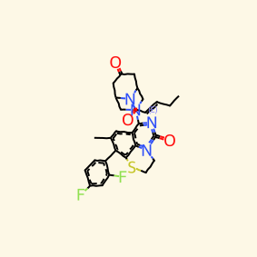 CC/C=C/C(=O)N1C2CC(=O)CC1CN(c1nc(=O)n3c4c(c(-c5ccc(F)cc5F)c(C)cc14)SCC3)C2